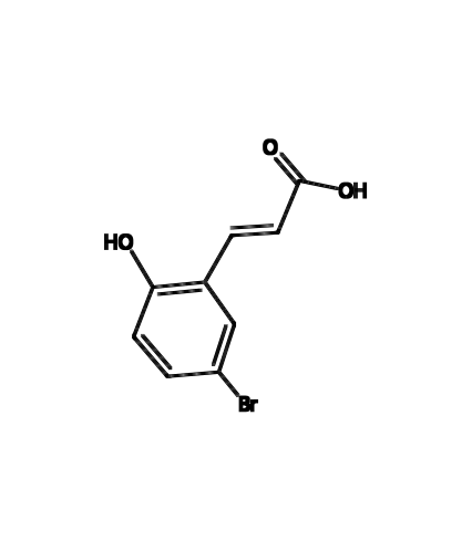 O=C(O)C=Cc1cc(Br)ccc1O